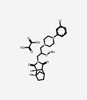 CCCCOC(CN1CCN(c2cccc(Cl)c2)CC1)CN1C(=O)C2C3CC[C@@H](C3)[C@@H]2C1=O.O=C(O)C(=O)O